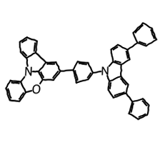 c1ccc(-c2ccc3c(c2)c2cc(-c4ccccc4)ccc2n3-c2ccc(-c3cc4c5c(c3)c3ccccc3n5-c3ccccc3O4)cc2)cc1